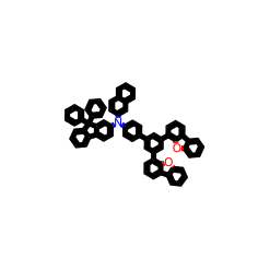 c1ccc(C2(c3ccccc3)c3ccccc3-c3ccc(N(c4ccc(-c5cc(-c6cccc7c6oc6ccccc67)cc(-c6cccc7c6oc6ccccc67)c5)cc4)c4ccc5ccccc5c4)cc32)cc1